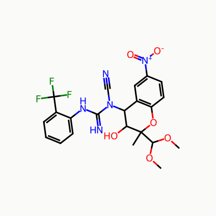 COC(OC)C1(C)Oc2ccc([N+](=O)[O-])cc2C(N(C#N)C(=N)Nc2ccccc2C(F)(F)F)C1O